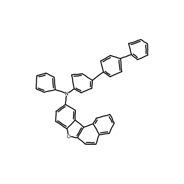 c1ccc(-c2ccc(-c3ccc(N(c4ccccc4)c4ccc5oc6ccc7ccccc7c6c5c4)cc3)cc2)cc1